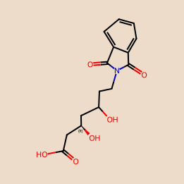 O=C(O)C[C@H](O)CC(O)CCN1C(=O)c2ccccc2C1=O